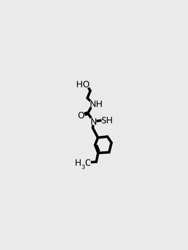 CCC1=CC(CN(S)C(=O)NCCO)CCC1